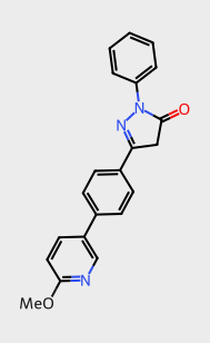 COc1ccc(-c2ccc(C3=NN(c4ccccc4)C(=O)C3)cc2)cn1